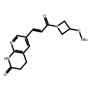 CCCCOC1CN(C(=O)C=Cc2cnc3c(c2)CCC(=O)N3)C1